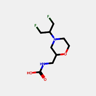 O=C(O)NCC1CN(C(CF)CF)CCO1